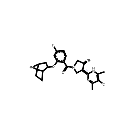 CC1=N/C(=C2\CN(C(=O)c3ccc(F)cc3OC3CC4NC45CCC35)CC2=N)NC(C)=C1Cl